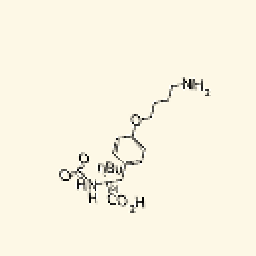 CCCC[C@@](Cc1ccc(OCCCCN)cc1)(N[SH](=O)=O)C(=O)O